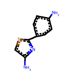 Nc1ccc(-c2nc(N)cs2)cc1